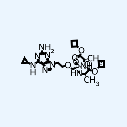 C[C@H](NP(=O)(COCCn1cnc2c(NC3CC3)nc(N)nc21)N[C@@H](C)C(=O)OC1CCC1)C(=O)OC1CCC1